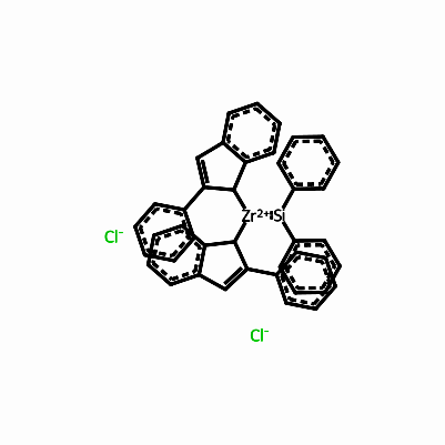 C1=C(c2ccccc2)[CH]([Zr+2]([CH]2C(c3ccccc3)=Cc3ccccc32)=[Si](c2ccccc2)c2ccccc2)c2ccccc21.[Cl-].[Cl-]